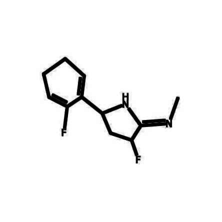 C/N=C1\NC(C2=CCCC=C2F)CC1F